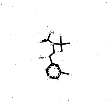 CC1(C)C[C@H]([C@@H](O)c2cncc(F)c2)N1C(=O)O